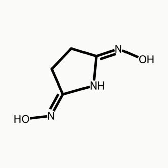 ON=C1CCC(=NO)N1